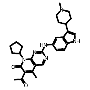 CC(=O)c1c(C)c2cnc(Nc3ccc4[nH]cc(C5CCN(C)CC5)c4c3)nc2n(C2CCCC2)c1=O